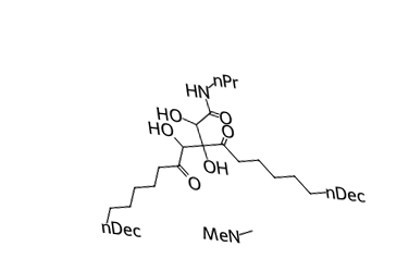 CCCCCCCCCCCCCCCC(=O)C(O)C(O)(C(=O)CCCCCCCCCCCCCCC)C(O)C(=O)NCCC.CNC